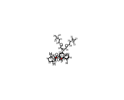 CC(C)(C)OC(=O)N1[C@@H]2CC[C@H]1C=C(c1cc(N(COCC[Si](C)(C)C)COCC[Si](C)(C)C)n3ncc(I)c3n1)C2